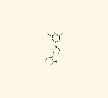 C=CC(NC)C1CCN(c2cc(C)nc(Cl)c2)C1